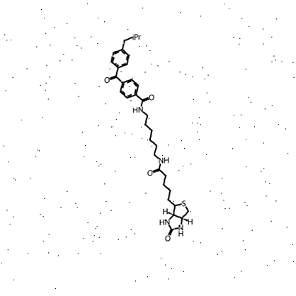 CC(C)Cc1ccc(C(=O)c2ccc(C(=O)NCCCCCCNC(=O)CCCCC3SC[C@@H]4NC(=O)N[C@H]34)cc2)cc1